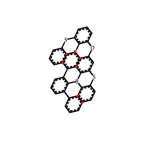 c1ccc(-c2cccc(-c3ccccc3)c2B2c3ccccc3Sc3cc4c(cc32)B2c3ccccc3Sc3cccc(c32)O4)cc1